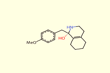 COc1ccc(C[C@@]2(O)NCCC3=C2CCCC3)cc1